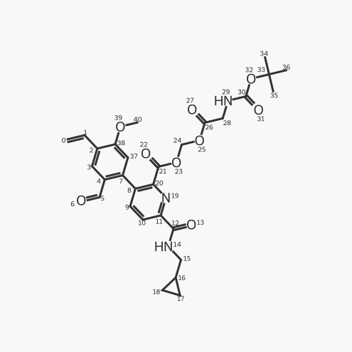 C=Cc1cc(C=O)c(-c2ccc(C(=O)NCC3CC3)nc2C(=O)OCOC(=O)CNC(=O)OC(C)(C)C)cc1OC